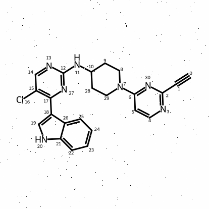 C#Cc1nccc(N2CCC(Nc3ncc(Cl)c(-c4c[nH]c5ccccc45)n3)CC2)n1